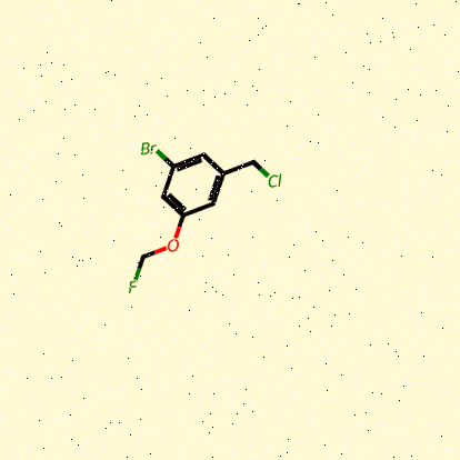 FCOc1cc(Br)cc(CCl)c1